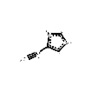 [C-]#[N+]c1cscn1